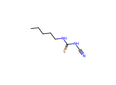 CCCCCNC(=S)NC#N